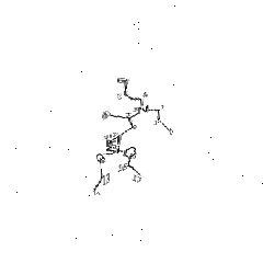 CCCN(CCC)C(C)CC[SiH](OCC)OCC